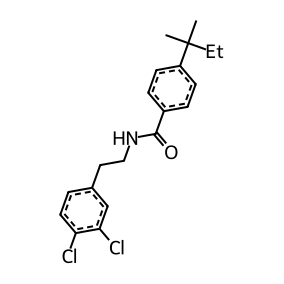 CCC(C)(C)c1ccc(C(=O)NCCc2ccc(Cl)c(Cl)c2)cc1